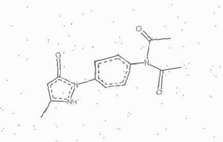 CC(=O)N(C(C)=O)c1ccc(-n2[nH]c(C)cc2=O)cc1